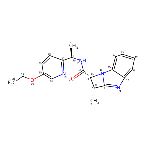 C[C@@H](NC(=O)[C@H]1[C@@H](C)c2nc3ccccc3n21)c1ccc(OCC(F)(F)F)cn1